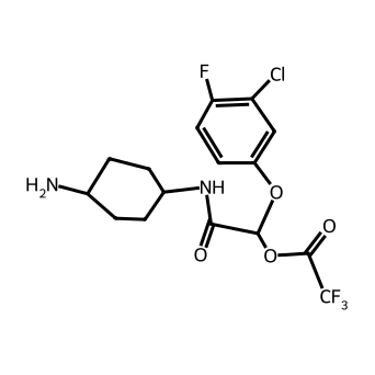 NC1CCC(NC(=O)C(OC(=O)C(F)(F)F)Oc2ccc(F)c(Cl)c2)CC1